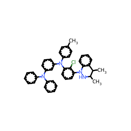 Cc1ccc(N(c2cccc(N(c3ccccc3)c3ccccc3)c2)c2cccc(N3NC(C)C(C)c4ccccc43)c2Cl)cc1